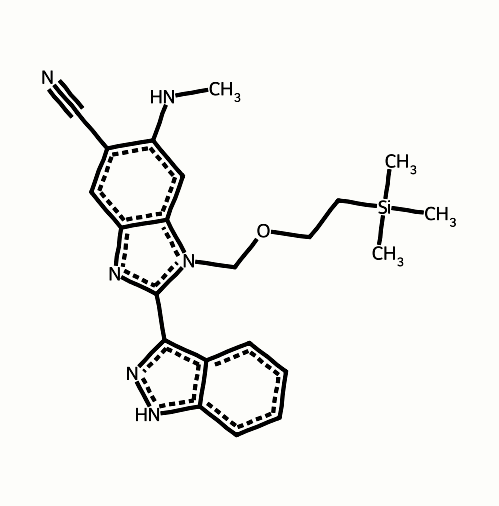 CNc1cc2c(cc1C#N)nc(-c1n[nH]c3ccccc13)n2COCC[Si](C)(C)C